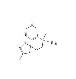 C=C(C)/C=C\C1=C(C)C(C)(C#N)CCC12CC(C)=NO2